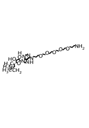 C=P(C)(C)CC(C)[C@H]1O[C@@H](n2cnc3c(NCCCOCCOCCOCCOCCOCCCN)ncnc32)[C@H](O)[C@@H]1O